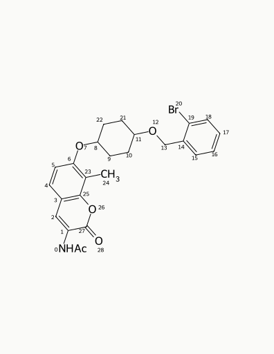 CC(=O)Nc1cc2ccc(OC3CCC(OCc4ccccc4Br)CC3)c(C)c2oc1=O